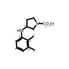 CCOC(=O)N1CCC(Nc2cccc(C)c2C)C1